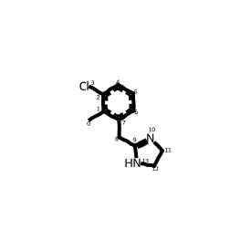 Cc1c(Cl)cccc1CC1=NCCN1